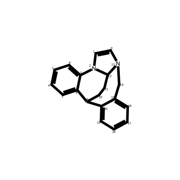 C1=CN2c3ccccc3C3CCC2N1Cc1ccccc13